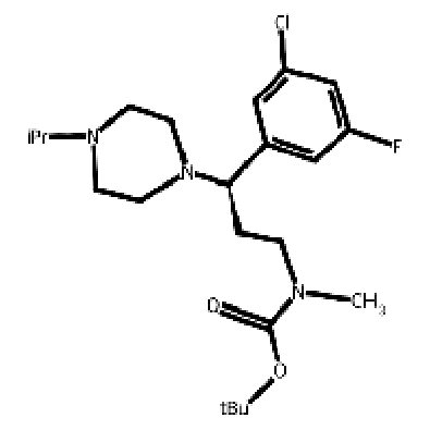 CC(C)N1CCN([C@H](CCN(C)C(=O)OC(C)(C)C)c2cc(F)cc(Cl)c2)CC1